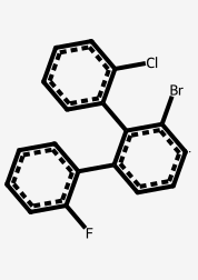 Fc1ccccc1-c1cc[c]c(Br)c1-c1ccccc1Cl